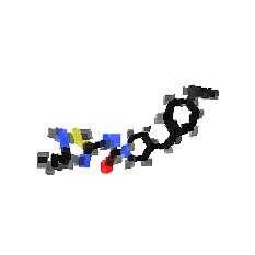 COc1ccc(CC2CCN(C(=O)Nc3nc(C)ns3)CC2)cc1